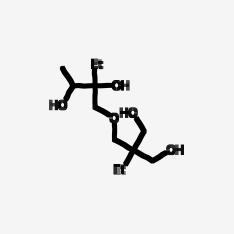 CCC(CO)(CO)COCC(O)(CC)C(C)O